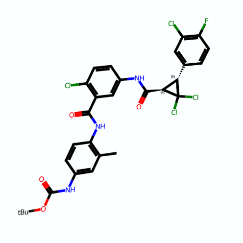 Cc1cc(NC(=O)OC(C)(C)C)ccc1NC(=O)c1cc(NC(=O)[C@H]2[C@H](c3ccc(F)c(Cl)c3)C2(Cl)Cl)ccc1Cl